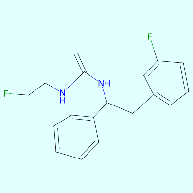 C=C(NCCF)NC(Cc1cccc(F)c1)c1ccccc1